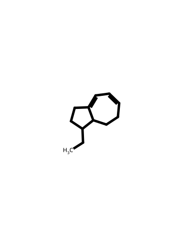 CCC1CCC2=CC=CCCC21